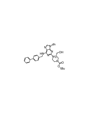 CC(C)n1cnc2c(NCc3ccc(-c4ccccc4)cc3)nc(N3CCN(C(=O)OC(C)(C)C)C[C@@H]3CO)nc21